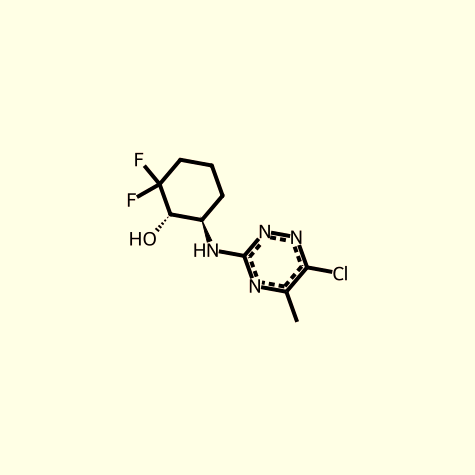 Cc1nc(N[C@@H]2CCCC(F)(F)[C@H]2O)nnc1Cl